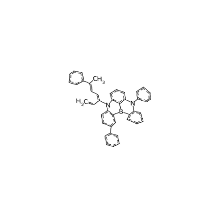 C=C/C(=C\C=C(/C)c1ccccc1)N1c2ccc(-c3ccccc3)cc2B2c3ccccc3N(c3ccccc3)c3cccc1c32